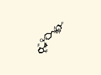 O=C([C@@H]1C[C@H]1C1C(F)=CC=CC1F)N1CCC(CNc2ncc(F)cn2)CC1